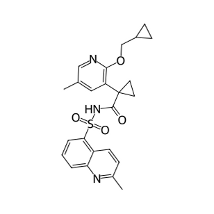 Cc1cnc(OCC2CC2)c(C2(C(=O)NS(=O)(=O)c3cccc4nc(C)ccc34)CC2)c1